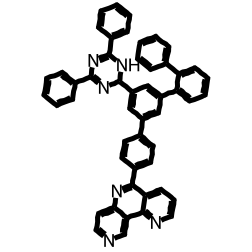 c1ccc(C2=NC(c3cc(-c4ccc(-c5nc6ccncc6c6ncccc56)cc4)cc(-c4ccccc4-c4ccccc4)c3)NC(c3ccccc3)=N2)cc1